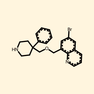 Brc1cc(COCC2(c3ccccc3)CCNCC2)c2ncccc2c1